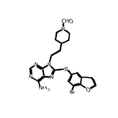 Nc1ncnc2c1nc(Sc1cc(Br)c3c(c1)CCO3)n2CCC1CCN(C=O)CC1